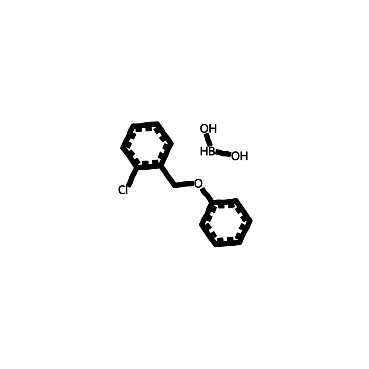 Clc1ccccc1COc1ccccc1.OBO